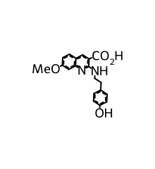 COc1ccc2cc(C(=O)O)c(NCCc3ccc(O)cc3)nc2c1